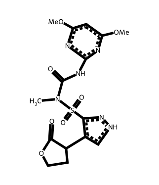 COc1cc(OC)nc(NC(=O)N(C)S(=O)(=O)c2n[nH]cc2C2CCOC2=O)n1